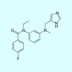 CCN(C(=O)c1ccc(F)cc1)c1cccc(N(C)Cc2cnc[nH]2)c1